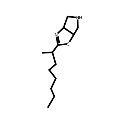 CCCCCCC(C)C1=NC2CNCC2S1